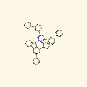 c1ccc(-c2cccc(-c3cc(-c4cccc(-c5ccccc5)c4)nc(-n4c5ccccc5c5cc(-c6ccccc6)cc(-c6ccccc6)c54)n3)c2)cc1